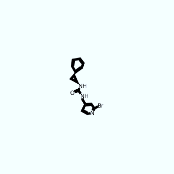 O=C(NCc1ccnc(Br)c1)N[C@@H]1C[C@H]1c1ccccc1